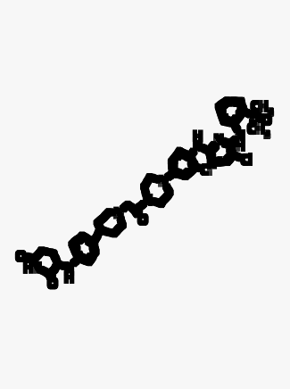 CP(C)(=O)c1ccccc1Nc1nc(Nc2ccc(N3CCN(C(=O)CN4CCC(c5ccc(NC6CCC(=O)NC6=O)cc5)CC4)CC3)cc2Cl)ncc1Cl